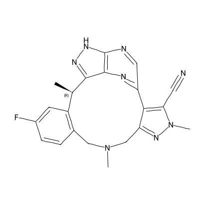 C[C@@H]1c2cc(F)ccc2CN(C)Cc2nn(C)c(C#N)c2-c2cnc3[nH]nc1c3n2